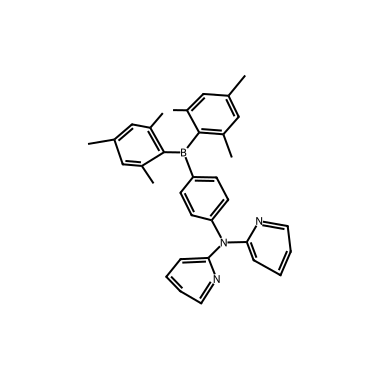 Cc1cc(C)c(B(c2ccc(N(c3ccccn3)c3ccccn3)cc2)c2c(C)cc(C)cc2C)c(C)c1